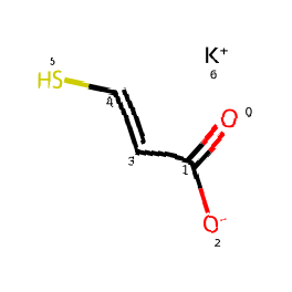 O=C([O-])C=CS.[K+]